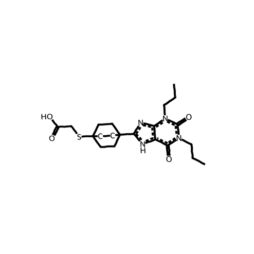 CCCn1c(=O)c2[nH]c(C34CCC(SCC(=O)O)(CC3)CC4)nc2n(CCC)c1=O